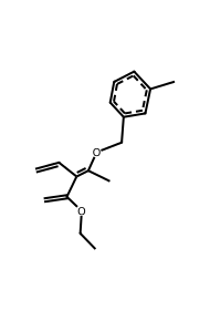 C=C/C(C(=C)OCC)=C(/C)OCc1cccc(C)c1